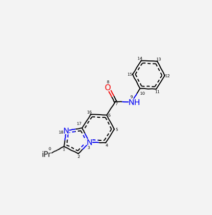 CC(C)c1cn2ccc(C(=O)Nc3ccccc3)cc2n1